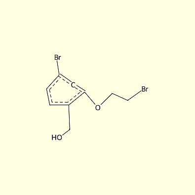 OCc1ccc(Br)cc1OCCBr